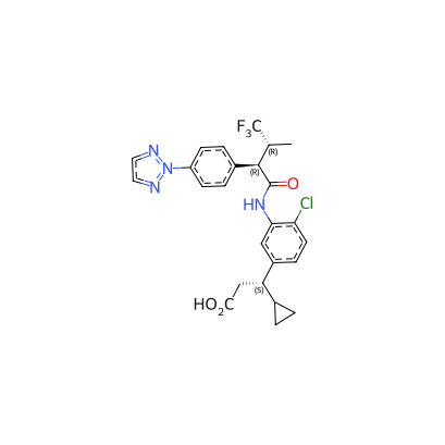 C[C@H]([C@@H](C(=O)Nc1cc([C@@H](CC(=O)O)C2CC2)ccc1Cl)c1ccc(-n2nccn2)cc1)C(F)(F)F